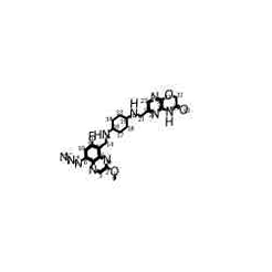 COc1cnc2c(N=[N+]=[N-])cc(F)c(CNC3CCC(NCc4cnc5c(n4)NC(=O)CO5)CC3)c2n1